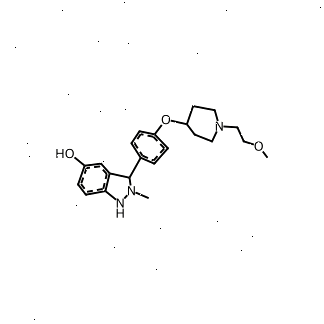 COCCN1CCC(Oc2ccc(C3c4cc(O)ccc4NN3C)cc2)CC1